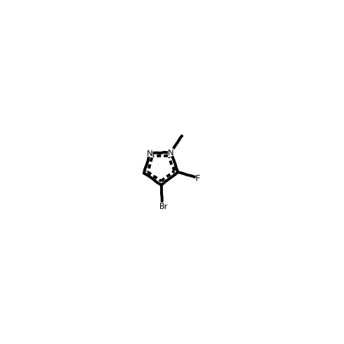 Cn1ncc(Br)c1F